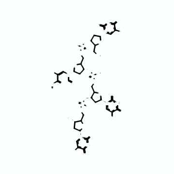 CNC(=O)/C(C)=C\N(C=O)[C@H]1C[C@@H](OP(=O)(O)OCC2O[C@@H](n3cc(C)c(=O)[nH]c3=O)C[C@H]2OP(=O)(O)OCC2O[C@@H](n3cc(C)c(=O)[nH]c3=O)C[C@H]2O)C(COP(=O)(O)O[C@@H]2C[C@H](n3cc(C)c(=O)[nH]c3=O)OC2CO)O1